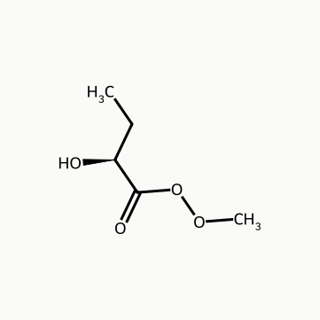 CC[C@H](O)C(=O)OOC